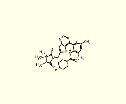 Cc1cc(C)c(NC(=O)C2CCN(I)CC2)c(-c2ccnc3cc(CN4C(=O)C(C)C(C)(C)C4=O)sc23)n1